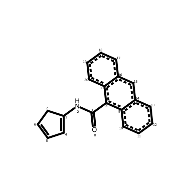 O=C(NC1=CC=CC1)c1c2ccccc2cc2ccccc12